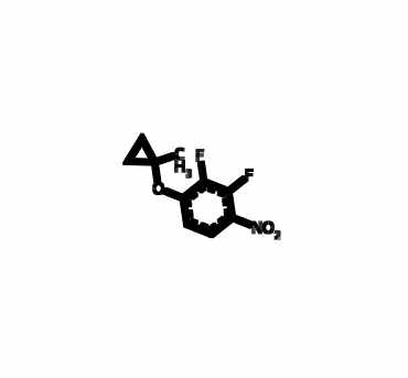 CC1(Oc2ccc([N+](=O)[O-])c(F)c2F)CC1